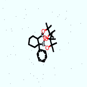 CC1(C)OB(C2CCCCC2(B2OC(C)(C)C(C)(C)O2)c2ccccc2)OC1(C)C